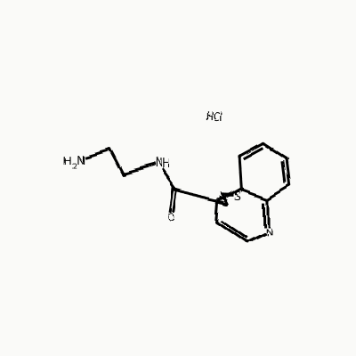 Cl.NCCNC(=O)C1=C2C=CN=C3C=CC=CC32SC1